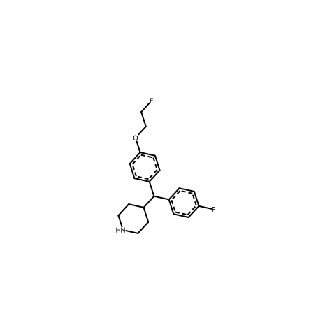 FCCOc1ccc(C(c2ccc(F)cc2)C2CCNCC2)cc1